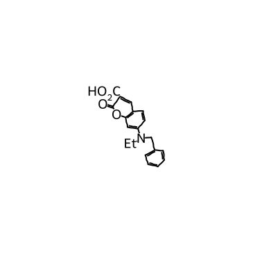 CCN(Cc1ccccc1)c1ccc2cc(C(=O)O)c(=O)oc2c1